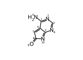 Nc1ncnc2c1=CC(=O)N=2